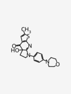 Cc1cc2c(s1)N=C1N(c3ccc(N4CCOCC4)cc3)CCC1(O)C2=O